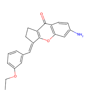 CCOc1cccc(C=C2CCc3c2oc2cc(N)ccc2c3=O)c1